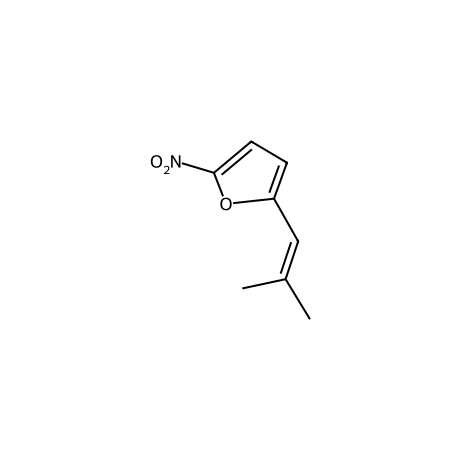 CC(C)=Cc1ccc([N+](=O)[O-])o1